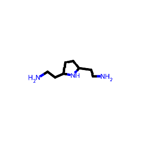 NCCC1CCC(CCN)N1